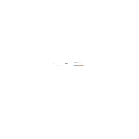 [Cs+].[N-]=C=S